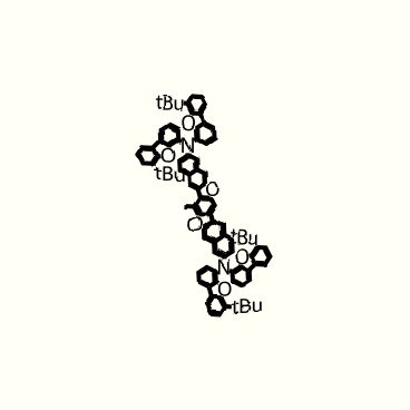 Cc1c2oc3cc4cc(N(c5cccc6c5oc5c(C(C)(C)C)cccc56)c5cccc6c5oc5c(C(C)(C)C)cccc56)ccc4cc3c2cc2oc3cc4cc(N(c5cccc6c5oc5c(C(C)(C)C)cccc56)c5cccc6c5oc5c(C(C)(C)C)cccc56)ccc4cc3c12